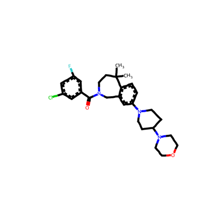 CC1(C)CCN(C(=O)c2cc(F)cc(Cl)c2)Cc2cc(N3CCC(N4CCOCC4)CC3)ccc21